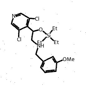 CC[Si](CC)(CC)OC(CNCc1cccc(OC)c1)c1c(Cl)cncc1Cl